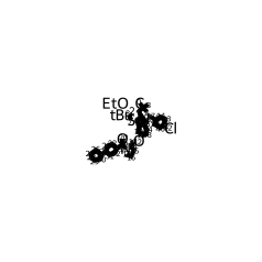 CCOC(=O)C(C)(C)Cc1c(SC(C)(C)C)c2cc(OCC3CCCN3C(=O)c3ccc(-c4ccccc4)cc3)ccc2n1Cc1ccc(Cl)cc1